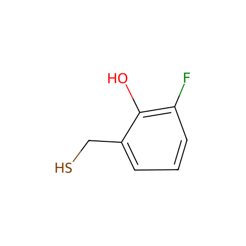 Oc1c(F)cccc1CS